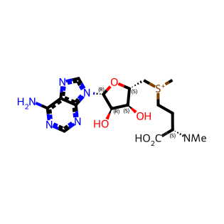 CN[C@@H](CC[S+](C)C[C@H]1O[C@@H](n2cnc3c(N)ncnc32)[C@H](O)[C@@H]1O)C(=O)O